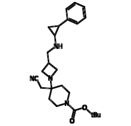 CC(C)(C)OC(=O)N1CCC(CC#N)(N2CC(CNC3CC3c3ccccc3)C2)CC1